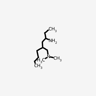 CCCCC(CC(N)CC)CN(C)C